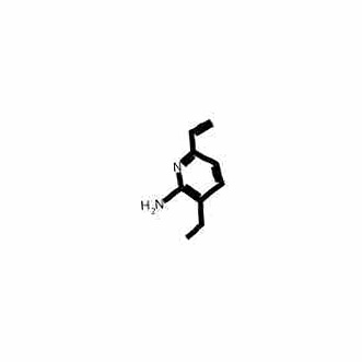 C=Cc1ccc(CC)c(N)n1